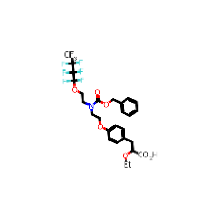 CCOC(Cc1ccc(OCCN(CCOC(F)(F)C(F)(F)C(F)(F)C(F)(F)F)C(=O)OCc2ccccc2)cc1)C(=O)O